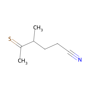 CC(=S)C(C)CCC#N